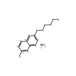 CCCCCCc1ccc2cc(C)ccc2c1.N